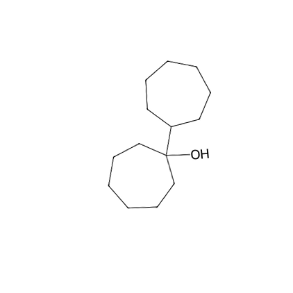 OC1(C2CCCCCC2)CCCCCC1